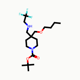 CCCCOCC1(CNCC(F)(F)F)CCN(C(=O)OC(C)(C)C)CC1